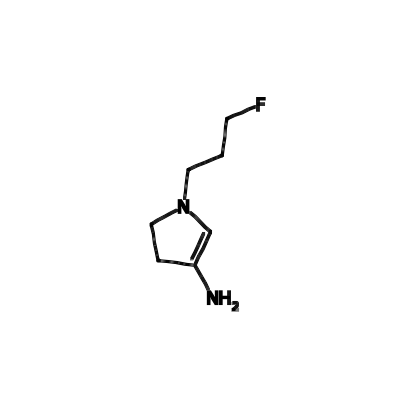 NC1=CN(CCCF)CC1